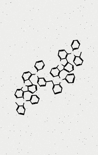 Cc1ccccc1N(c1ccccc1)c1cccc2c1c1cccc3c4c(N(c5ccccc5)c5cccc(Cc6ccccc6N(c6ccccc6)c6cccc7c6c6cccc8c9c(N(c%10ccccc%10)c%10ccccc%10C)cccc9n7c86)c5)cccc4n2c31